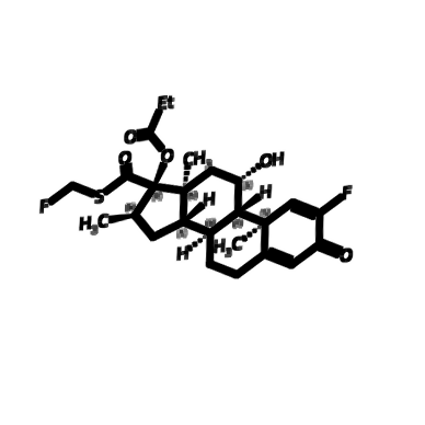 CCC(=O)O[C@]1(C(=O)SCF)[C@H](C)C[C@H]2[C@@H]3CCC4=CC(=O)C(F)=C[C@]4(C)[C@H]3[C@@H](O)C[C@@]21C